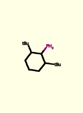 CC(C)(C)C1CCCC(C(C)(C)C)C1P